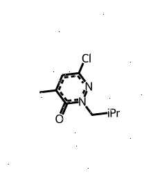 Cc1cc(Cl)nn(CC(C)C)c1=O